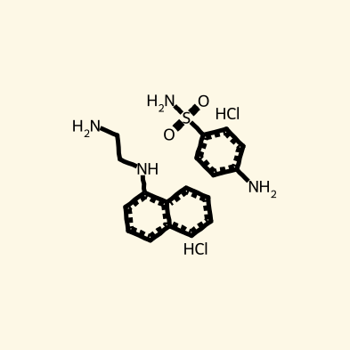 Cl.Cl.NCCNc1cccc2ccccc12.Nc1ccc(S(N)(=O)=O)cc1